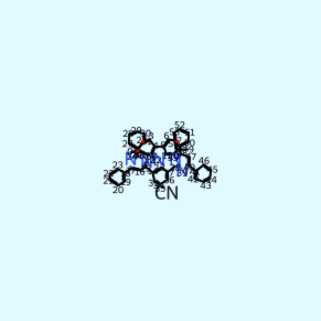 Cc1ccc2c3ccc(C)cc3n(-c3c(-c4cc(-c5ccccc5)nc(-c5ccccc5)n4)cc(C#N)cc3-c3nc(-c4ccccc4)cc(-c4ccccc4)n3)c2c1